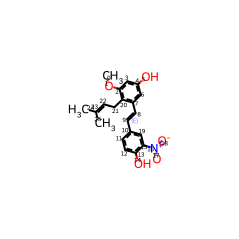 COc1cc(O)cc(/C=C/c2ccc(O)c([N+](=O)[O-])c2)c1CC=C(C)C